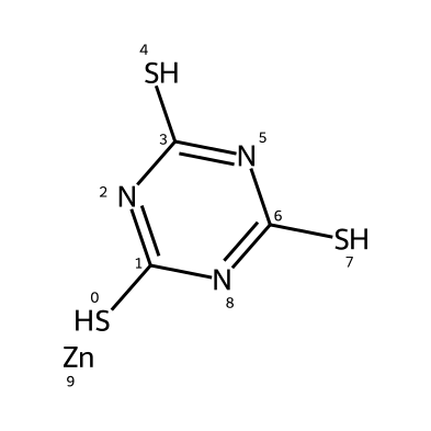 Sc1nc(S)nc(S)n1.[Zn]